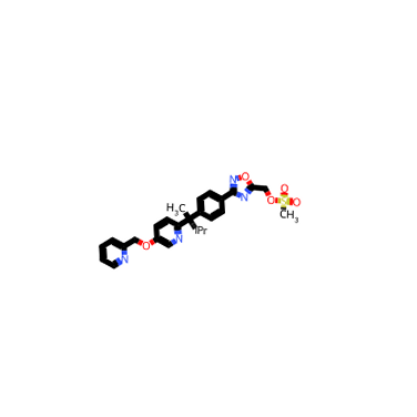 CC(C)C(C)(c1ccc(-c2noc(COS(C)(=O)=O)n2)cc1)c1ccc(OCc2ccccn2)cn1